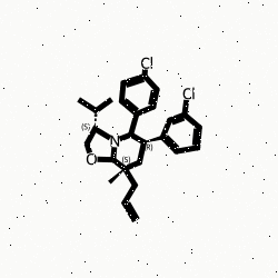 C=CC[C@@]1(C)C[C@H](c2cccc(Cl)c2)C(c2ccc(Cl)cc2)N2C1OC[C@@H]2C(C)C